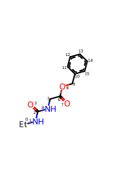 CCNC(=O)NCC(=O)OCc1ccccc1